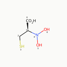 O=C(O)[C@H](CS)N(O)O